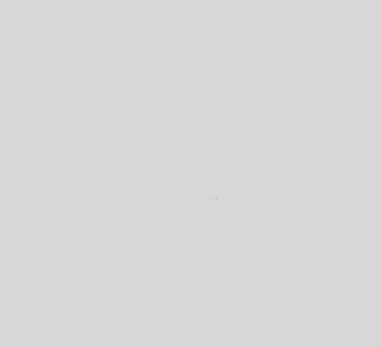 CCC1(C(=O)O)Oc2ccccc2CC1COC1CCCCO1